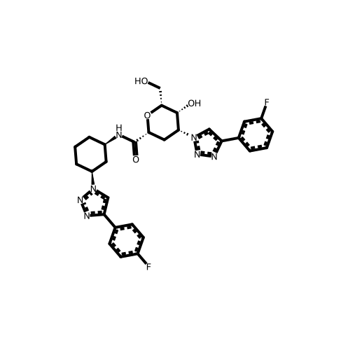 O=C(N[C@@H]1CCC[C@H](n2cc(-c3ccc(F)cc3)nn2)C1)[C@H]1C[C@@H](n2cc(-c3cccc(F)c3)nn2)[C@@H](O)[C@@H](CO)O1